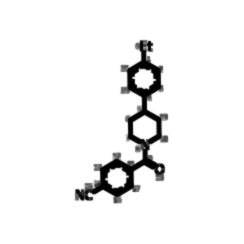 CCc1ccc(C2CCN(C(=O)c3ccc(C#N)cc3)CC2)cc1